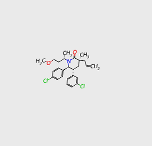 C=CC[C@@]1(C)C[C@H](c2cccc(Cl)c2)[C@@H](c2ccc(Cl)cc2)N([C@@H](C)CCOC)C1=O